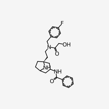 O=C(NC1CC2CC[C@](CCN(Cc3ccc(F)cc3)C(=O)CO)(C1)N2)c1ccccc1